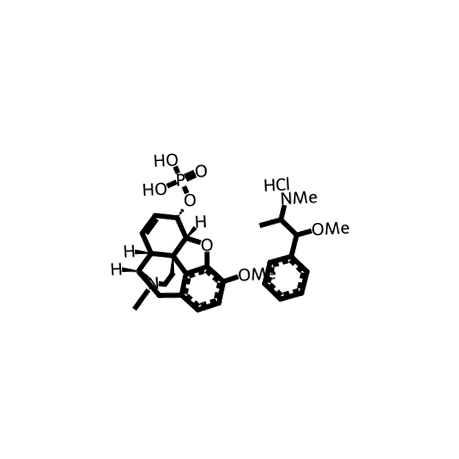 CNC(C)C(OC)c1ccccc1.COc1ccc2c3c1O[C@H]1[C@@H](OP(=O)(O)O)C=C[C@H]4[C@@H](C2)N(C)CC[C@@]341.Cl